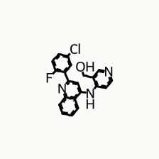 OCc1cnccc1Nc1cc(-c2cc(Cl)ccc2F)nc2ccccc12